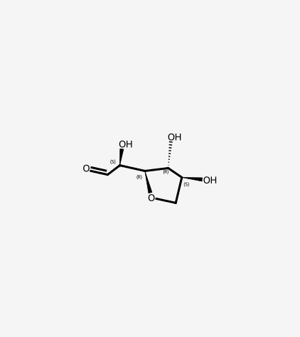 O=C[C@@H](O)[C@@H]1OC[C@H](O)[C@H]1O